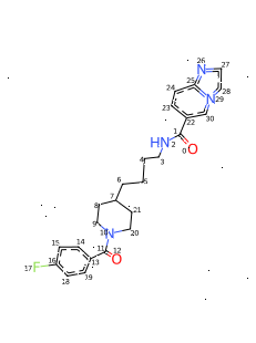 O=C(NCCCCC1CCN(C(=O)c2ccc(F)cc2)CC1)c1ccc2nccn2c1